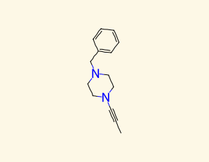 CC#CN1CCN(Cc2ccccc2)CC1